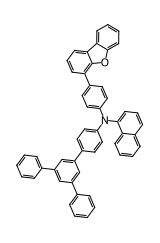 c1ccc(-c2cc(-c3ccccc3)cc(-c3ccc(N(c4ccc(-c5cccc6c5oc5ccccc56)cc4)c4cccc5ccccc45)cc3)c2)cc1